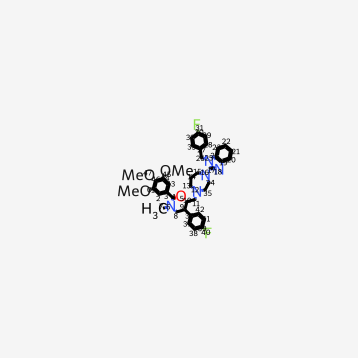 COc1cc(C(=O)N(C)CC(CCN2CCCN(c3nc4ccccc4n3Cc3ccc(F)cc3)CC2)c2ccc(F)cc2)cc(OC)c1OC